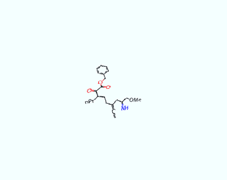 C=C=C(CCC(CCC)C(=O)C(=O)OCc1ccccc1)CC(=N)COC